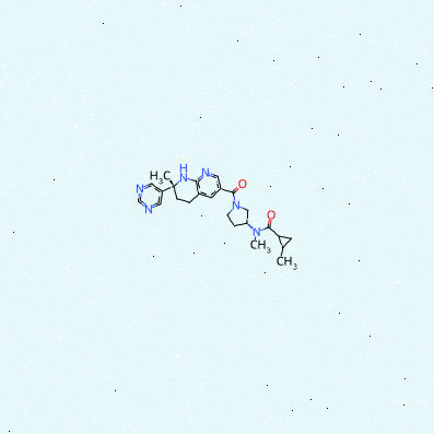 CC1CC1C(=O)N(C)[C@H]1CCN(C(=O)c2cnc3c(c2)CC[C@](C)(c2cncnc2)N3)C1